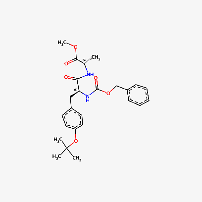 COC(=O)[C@H](C)NC(=O)[C@H](Cc1ccc(OC(C)(C)C)cc1)NC(=O)OCc1ccccc1